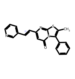 Cc1sc2nc(/C=C/c3cccnc3)cc(=O)n2c1-c1ccccc1